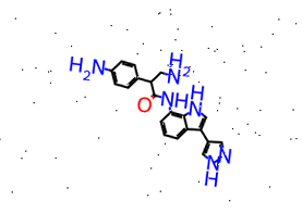 NCC(C(=O)Nc1cccc2c(-c3cn[nH]c3)c[nH]c12)c1ccc(N)cc1